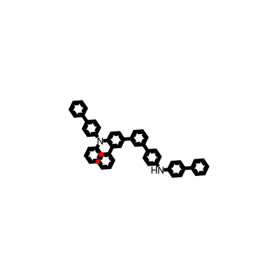 c1ccc(-c2ccc(Nc3ccc(-c4cccc(-c5ccc(N(c6ccccc6)c6ccc(-c7ccccc7)cc6)c(-c6ccccc6)c5)c4)cc3)cc2)cc1